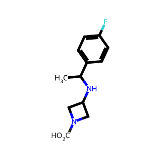 CC(NC1CN(C(=O)O)C1)c1ccc(F)cc1